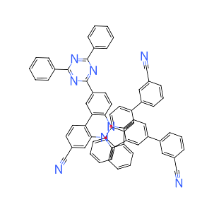 N#Cc1cccc(-c2ccc3c(c2)c2ccccc2n3-c2ccc(-c3nc(-c4ccccc4)nc(-c4ccccc4)n3)cc2-c2ccc(C#N)cc2-n2c3ccccc3c3cc(-c4cccc(C#N)c4)ccc32)c1